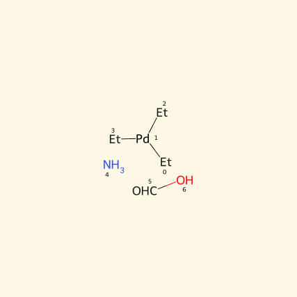 C[CH2][Pd]([CH2]C)[CH2]C.N.O=CO